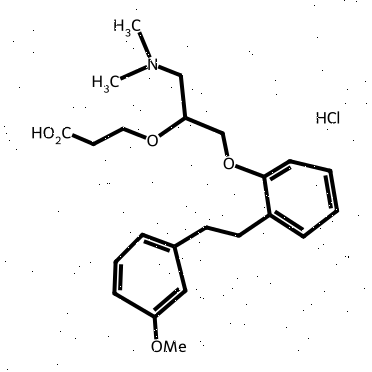 COc1cccc(CCc2ccccc2OCC(CN(C)C)OCCC(=O)O)c1.Cl